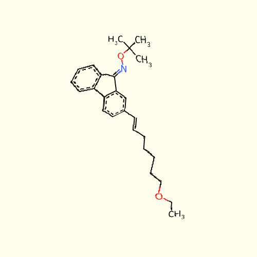 CCOCCCCC/C=C/c1ccc2c(c1)/C(=N/OC(C)(C)C)c1ccccc1-2